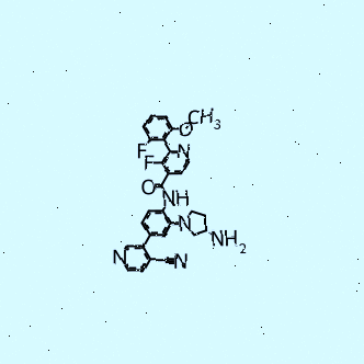 COc1cccc(F)c1-c1nccc(C(=O)Nc2ccc(-c3cnccc3C#N)cc2N2CC[C@H](N)C2)c1F